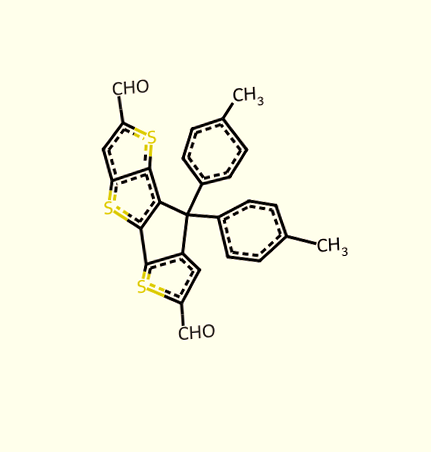 Cc1ccc(C2(c3ccc(C)cc3)c3cc(C=O)sc3-c3sc4cc(C=O)sc4c32)cc1